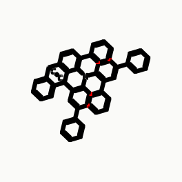 c1ccc(-c2ccc(N3c4ccc(-c5ccccc5)cc4C45CCC(c6ccccc64)c4ccc(-c6ccccc6)c3c45)c(-c3ccccc3)c2)cc1